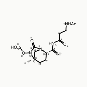 CC(=O)NCCC(=O)NC(=N)[C@@H]1CC[C@@H]2CN1C(=O)N2OS(=O)(=O)O